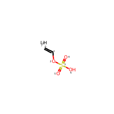 C=COS(=O)(=O)O.[LiH]